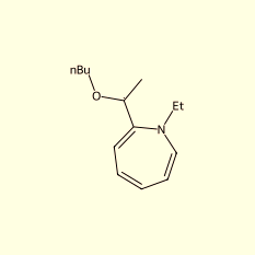 CCCCO[C](C)C1=CC=CC=CN1CC